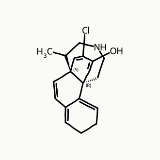 CC1CNCC[C@@]23C=C(O)C(Cl)=C[C@]12C=CC1=CCCC=C13